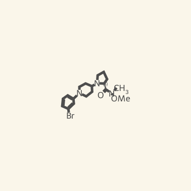 CON(C)C(=O)[C@@H]1CCCN1C1CCN(c2cccc(Br)c2)CC1